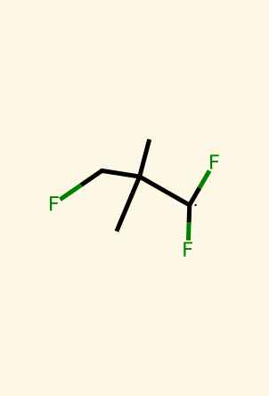 CC(C)(CF)[C](F)F